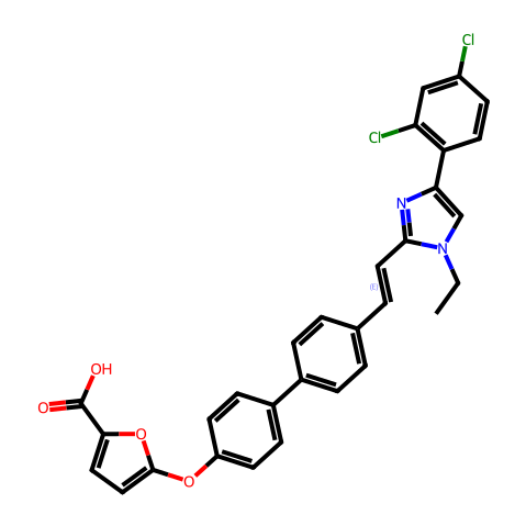 CCn1cc(-c2ccc(Cl)cc2Cl)nc1/C=C/c1ccc(-c2ccc(Oc3ccc(C(=O)O)o3)cc2)cc1